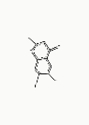 Cc1cc(=O)c2cc(F)c(F)cc2o1